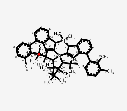 Cc1cccc(-c2cccc3c2C=C2[CH]3[Hf]([CH3])([CH3])[CH]3C(=Cc4c(-c5cccc(C)c5C)cccc43)[Si]2(C(C(C)(C)C)C(C)(C)C(C)(C)C)C(C(C)(C)C)C(C)(C)C(C)(C)C)c1C